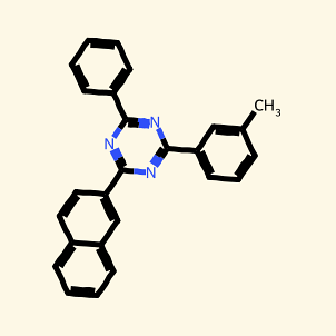 Cc1cccc(-c2nc(-c3ccccc3)nc(-c3ccc4ccccc4c3)n2)c1